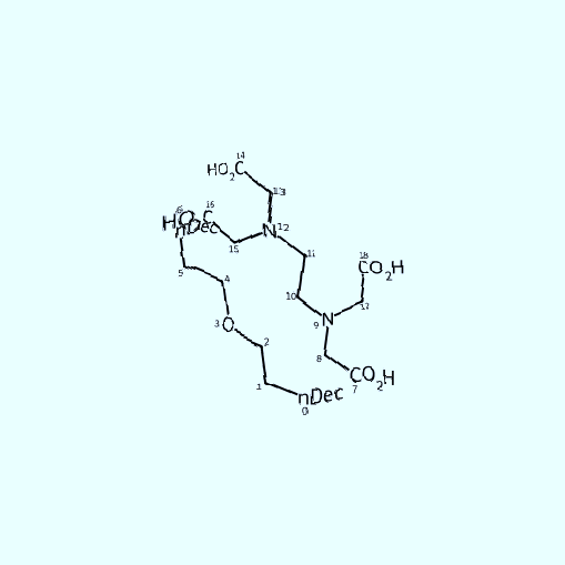 CCCCCCCCCCCCOCCCCCCCCCCCC.O=C(O)CN(CCN(CC(=O)O)CC(=O)O)CC(=O)O